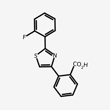 O=C(O)c1ccccc1-c1csc(-c2ccccc2F)n1